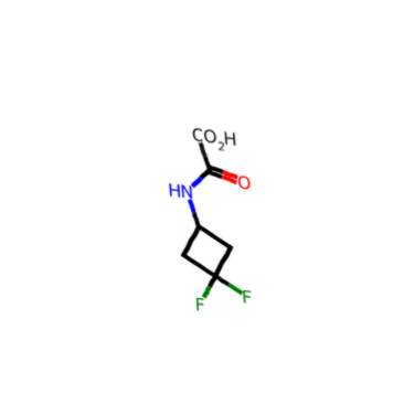 O=C(O)C(=O)NC1CC(F)(F)C1